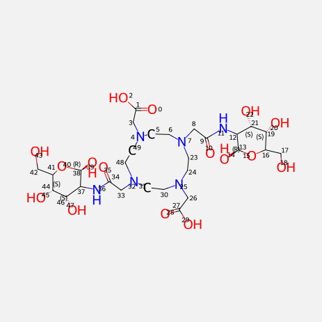 O=C(O)CN1CCN(CC(=O)NC2[C@H](O)OC(CO)[C@@H](O)[C@H]2O)CCN(CC(=O)O)CCN(CC(=O)NC2[C@H](O)OC(CO)[C@@H](O)[C@H]2O)CC1